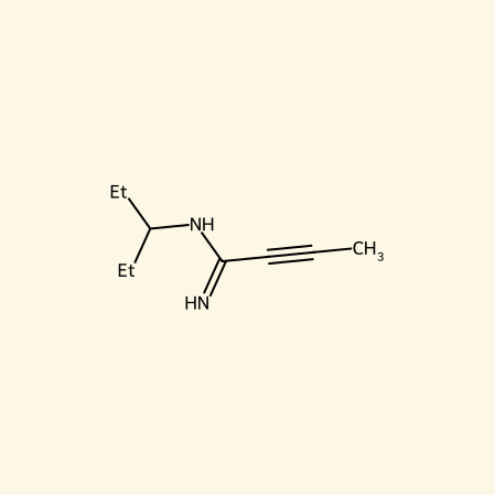 CC#CC(=N)NC(CC)CC